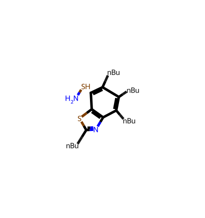 CCCCc1nc2c(CCCC)c(CCCC)c(CCCC)cc2s1.NS